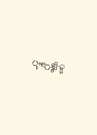 O=C(OS(=O)(=O)c1ccc(CNc2ccccc2F)cc1)C1CCCN1